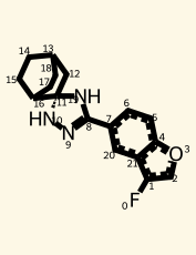 Fc1coc2ccc(C3=NN[C@]4(CC5CCC4CC5)N3)cc12